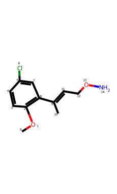 COc1ccc(Cl)cc1C(C)=CCON